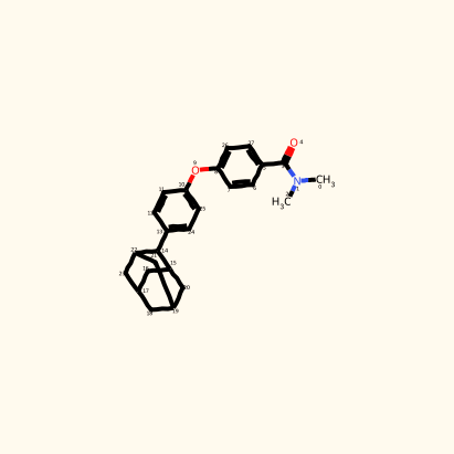 CN(C)C(=O)c1ccc(Oc2ccc(C3C4CC5CC(C4)CC3C5)cc2)cc1